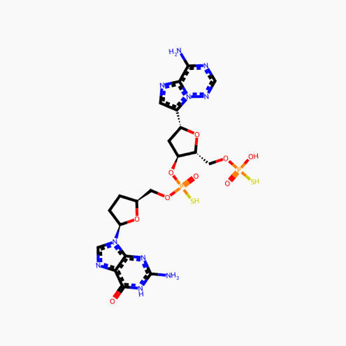 Nc1nc2c(ncn2[C@H]2CC[C@@H](COP(=O)(S)O[C@H]3C[C@H](c4cnc5c(N)ncnn45)O[C@@H]3COP(=O)(O)S)O2)c(=O)[nH]1